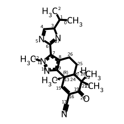 CC(C)C1C=NC(c2c3c(nn2C)[C@@]2(C)C=C(C#N)C(=O)C(C)(C)[C@@H]2CC3)=N1